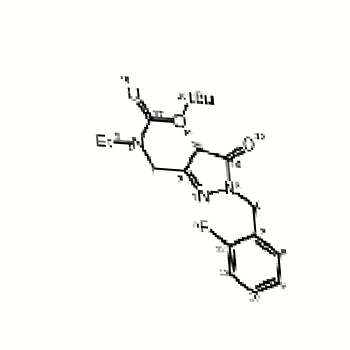 CCN(CC1=NN(Cc2ccccc2F)C(=O)C1)C(=O)OC(C)(C)C